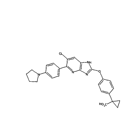 O=C(O)C1(c2ccc(Oc3nc4nc(-c5ccc(N6CCCC6)cc5)c(Cl)cc4[nH]3)cc2)CC1